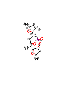 [2H]C[C@H]1O[C@@H]([3H])C[C@@H]1O[P@]1(=O)C[C@@H]([C@H]2O[C@@H]([3H])C[C@@H]2C)CCO1